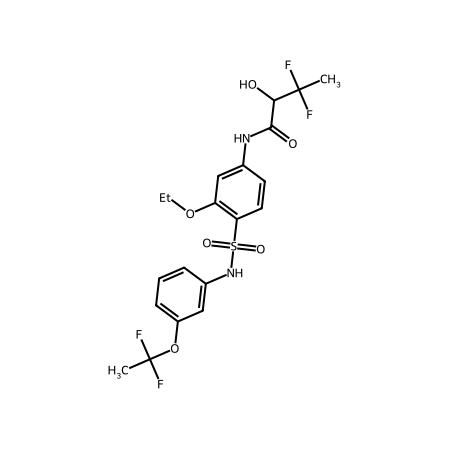 CCOc1cc(NC(=O)C(O)C(C)(F)F)ccc1S(=O)(=O)Nc1cccc(OC(C)(F)F)c1